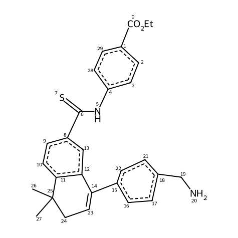 CCOC(=O)c1ccc(NC(=S)c2ccc3c(c2)C(c2ccc(CN)cc2)=CCC3(C)C)cc1